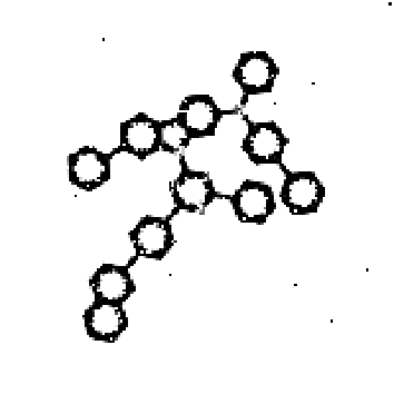 c1ccc(-c2ccc(N(c3ccccc3)c3ccc4c5ccc(-c6ccccc6)cc5n(-c5nc(-c6ccccc6)nc(-c6ccc(-c7ccc8ccccc8c7)cc6)n5)c4c3)cc2)cc1